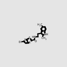 CCc1cc2cc(C(=O)NCCc3c(C)[nH]c4ccc(C)cc34)sc2s1